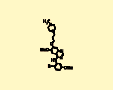 COc1ccc(Br)c(Nc2ncnc3cc(OCCCN4CCN(C)CC4)c(OC)cc23)c1